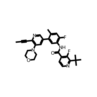 CC#Cc1ncc(-c2cc(NC(=O)c3ccnc(C(C)(C)C)c3F)c(F)cc2C)cc1N1CCOCC1